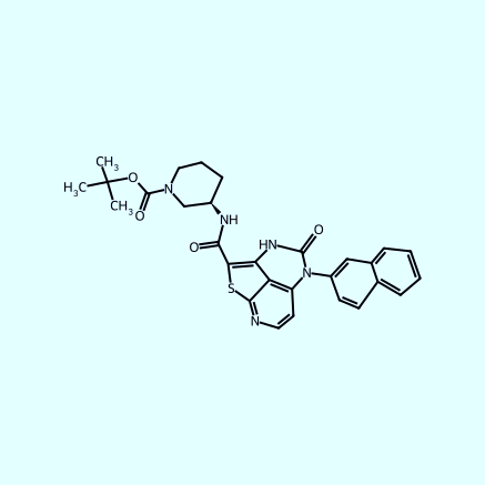 CC(C)(C)OC(=O)N1CCC[C@@H](NC(=O)c2sc3nccc4c3c2NC(=O)N4c2ccc3ccccc3c2)C1